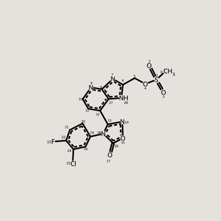 CS(=O)(=O)OCc1nc2nccc(-c3noc(=O)n3-c3ccc(F)c(Cl)c3)c2[nH]1